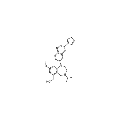 COc1cc(CO)c2c(c1)N(c1ccc3ncc(C4=CCN=C4)cc3c1)CCN(C(C)C)C2